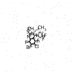 CC[C@@H]1CC(F)(F)CN1c1nc(SC)nc2c(F)c(Br)c(Cl)c(F)c12